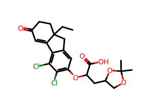 CCC12CCC(=O)C=C1c1c(cc(OC(CC3COC(C)(C)O3)C(=O)O)c(Cl)c1Cl)C2